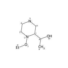 CCON1CC[N]CC1C(C)O